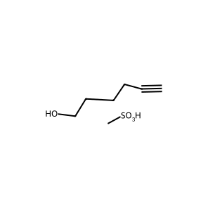 C#CCCCCO.CS(=O)(=O)O